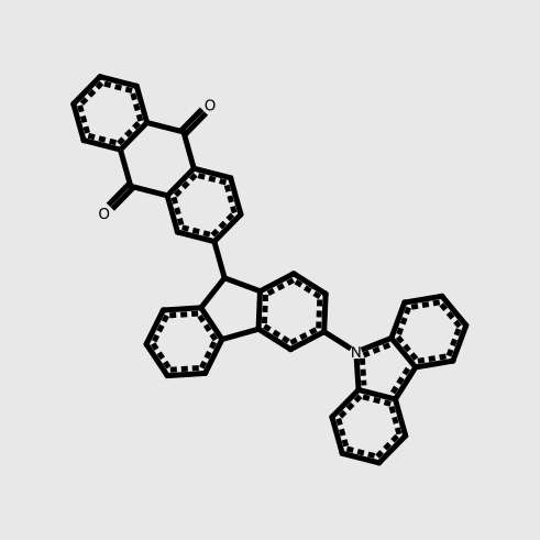 O=C1c2ccccc2C(=O)c2cc(C3c4ccccc4-c4cc(-n5c6ccccc6c6ccccc65)ccc43)ccc21